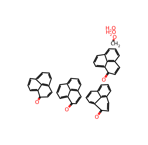 C=O.O.O.O=C1C=Cc2cccc3cccc1c23.O=C1C=Cc2cccc3cccc1c23.O=C1C=Cc2cccc3cccc1c23.O=C1C=Cc2cccc3cccc1c23